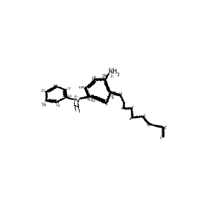 CCCCCCCCc1cc(Nc2ccccc2)ccc1N